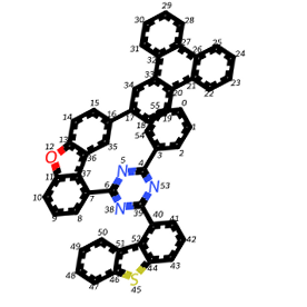 c1ccc(-c2nc(-c3cccc4oc5ccc(-c6ccc7c8ccccc8c8ccccc8c7c6)cc5c34)nc(-c3cccc4sc5ccccc5c34)n2)cc1